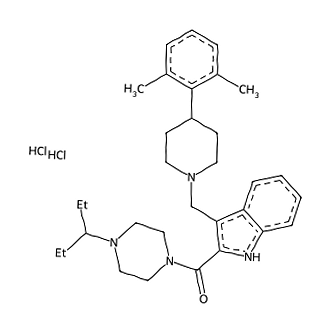 CCC(CC)N1CCN(C(=O)c2[nH]c3ccccc3c2CN2CCC(c3c(C)cccc3C)CC2)CC1.Cl.Cl